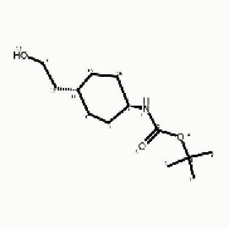 CC(C)(C)OC(=O)N[C@H]1CC[C@H](CCO)CC1